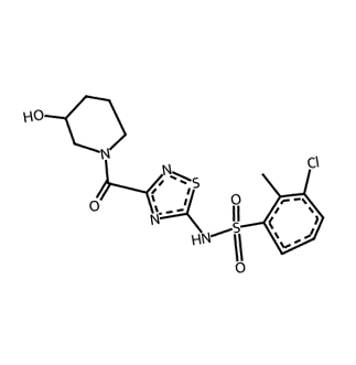 Cc1c(Cl)cccc1S(=O)(=O)Nc1nc(C(=O)N2CCCC(O)C2)ns1